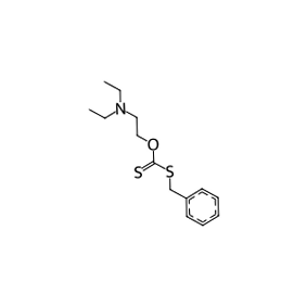 CCN(CC)CCOC(=S)SCc1ccccc1